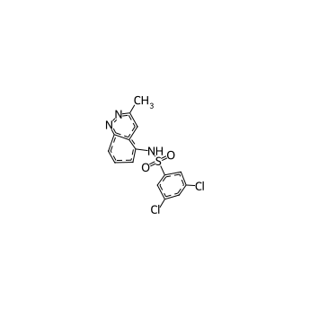 Cc1cc2c(NS(=O)(=O)c3cc(Cl)cc(Cl)c3)cccc2nn1